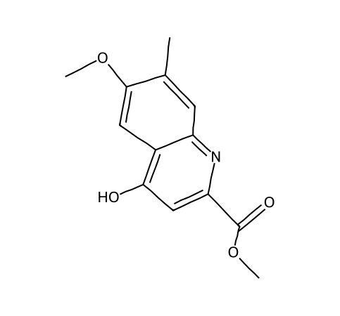 COC(=O)c1cc(O)c2cc(OC)c(C)cc2n1